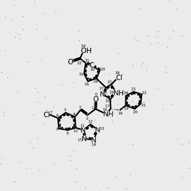 O=C(/C=C/c1cc(Cl)ccc1-n1cnnn1)N[C@@H](Cc1ccccc1)c1nc(-c2ccc(C(=O)O)cc2)c(Cl)[nH]1